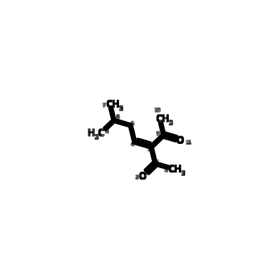 CC(=O)C(=CCC(C)C)C(C)=O